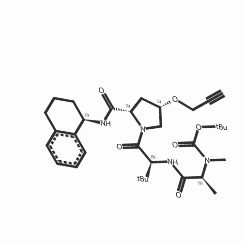 C#CCO[C@H]1C[C@@H](C(=O)N[C@@H]2CCCc3ccccc32)N(C(=O)[C@@H](NC(=O)[C@H](C)N(C)C(=O)OC(C)(C)C)C(C)(C)C)C1